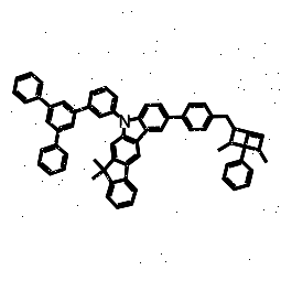 CC1C=C2C(Cc3ccc(-c4ccc5c(c4)c4cc6c(cc4n5-c4cccc(-c5cc(-c7ccccc7)cc(-c7ccccc7)c5)c4)C(C)(C)c4ccccc4-6)cc3)C(C)C21c1ccccc1